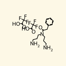 NCCCN(CCCN)C(=O)Cc1ccccc1.O=C(O)C(F)(F)F.O=C(O)C(F)(F)F